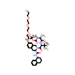 C[C@@H](C(=O)NC(C(=O)N1Cc2cc(OCCOCCOCCOCCCl)ccc2C[C@H]1C(=O)N[C@@H]1CCCc2ccccc21)C(C)(C)C)N(C)C(=O)OC(C)(C)C